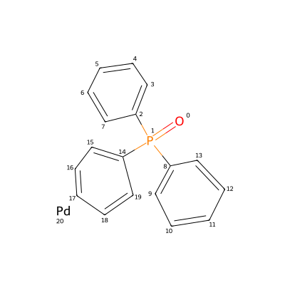 O=P(c1ccccc1)(c1ccccc1)c1ccccc1.[Pd]